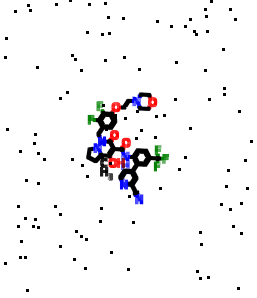 CC12CCCN1N(Cc1ccc(OCCN3CCOCC3)c(F)c1F)C(=O)C(C(=O)Nc1ccc(C(F)(F)F)cc1-c1ccnc(C#N)c1)=C2O